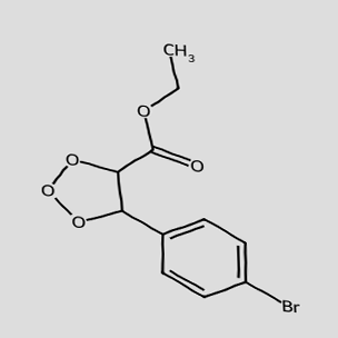 CCOC(=O)C1OOOC1c1ccc(Br)cc1